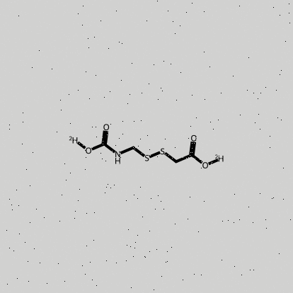 [2H]OC(=O)CSSCNC(=O)O[2H]